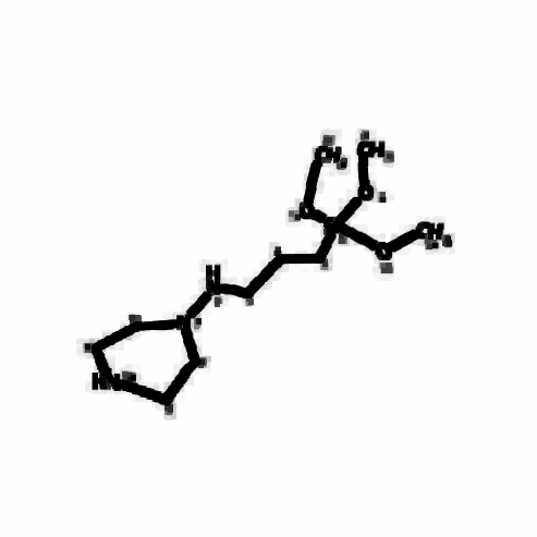 CO[Si](CCCNN1CCNCC1)(OC)OC